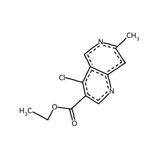 CCOC(=O)c1cnc2cc(C)ncc2c1Cl